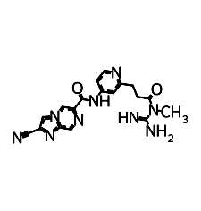 CN(C(=N)N)C(=O)CCc1cc(NC(=O)c2cn3cc(C#N)nc3cn2)ccn1